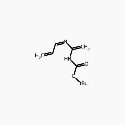 C=C/C=N\C(=C)NC(=O)OC(C)(C)C